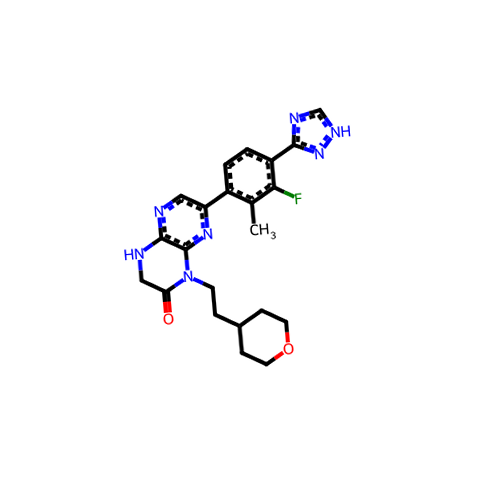 Cc1c(-c2cnc3c(n2)N(CCC2CCOCC2)C(=O)CN3)ccc(-c2nc[nH]n2)c1F